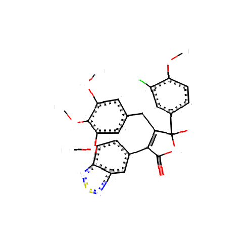 COc1ccc(C2(O)OC(=O)C(c3ccc4nsnc4c3)=C2Cc2cc(OC)c(OC)c(OC)c2)cc1Cl